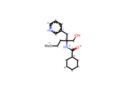 COCCC(CO)(Cc1cccnc1)NC(=O)C1CCCCC1